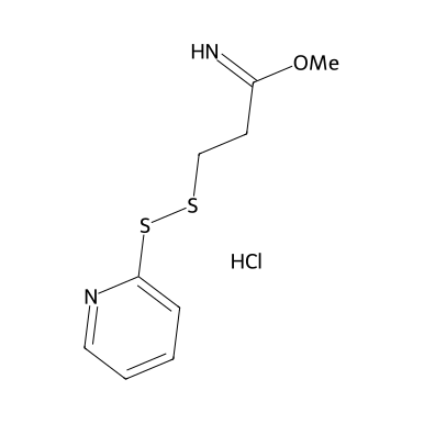 COC(=N)CCSSc1ccccn1.Cl